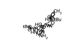 Cc1ccc(S(=O)(=O)N[C@@H](CC[C@@H](C[C@H]2O[C@@H](n3cnc4c(N)nc(NCCNC(=O)OC(C)(C)C)nc43)[C@H](O)[C@@H]2O)N=[N+]=[N-])C(=O)OC(C)(C)C)cc1